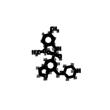 COc1ccc(C)cc1NS(=O)(=O)c1cc(CN2CCNCC2)c2occc2c1